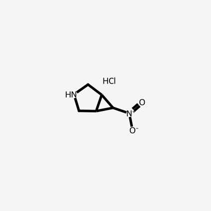 Cl.O=[N+]([O-])C1C2CNCC21